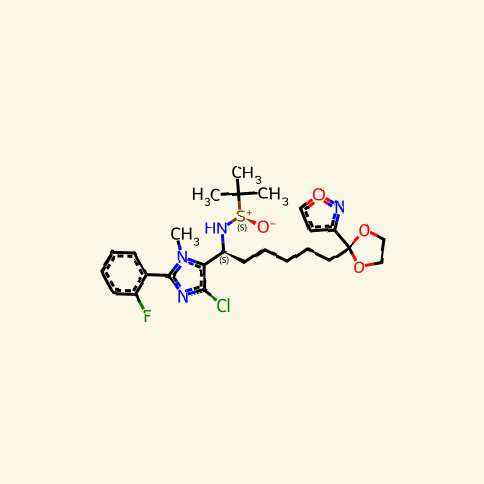 Cn1c(-c2ccccc2F)nc(Cl)c1[C@H](CCCCCC1(c2ccon2)OCCO1)N[S@+]([O-])C(C)(C)C